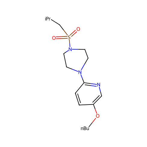 CCCCOc1ccc(N2CCN(S(=O)(=O)CC(C)C)CC2)nc1